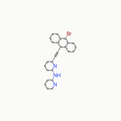 Brc1c2ccccc2c(C#Cc2cccc(Nc3ccccn3)n2)c2ccccc12